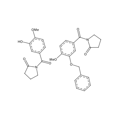 COc1ccc(C(=O)N2CCCC2=O)cc1O.COc1ccc(C(=O)N2CCCC2=O)cc1OCc1ccccc1